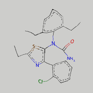 CCc1nc(-c2ccccc2Cl)c(N(C(N)=O)c2c(CC)cccc2CC)s1